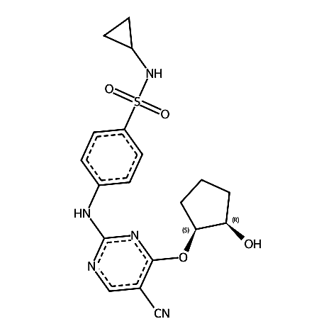 N#Cc1cnc(Nc2ccc(S(=O)(=O)NC3CC3)cc2)nc1O[C@H]1CCC[C@H]1O